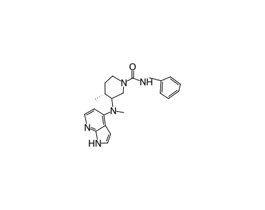 C[C@@H]1CCN(C(=O)NCc2ccccc2)CC1N(C)c1ccnc2[nH]ccc12